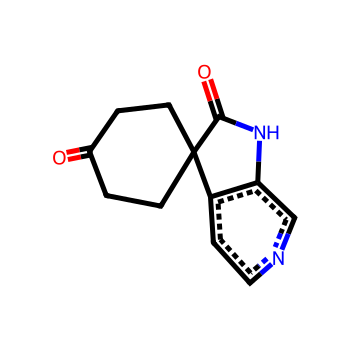 O=C1CCC2(CC1)C(=O)Nc1cnccc12